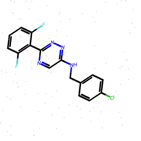 Fc1cccc(F)c1-c1ncc(NCc2ccc(Cl)cc2)nn1